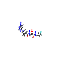 O=C(NCC1CC(F)(F)C1)[C@H](O)CNC(=O)[C@H]1CCN(c2ncnc3[nH]ccc23)CC12CC2